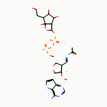 CO[C@]1(C)C(/C=N/C(C)=O)[C@@H](COP(=O)(S)OP(=O)(O)OC2OC3(O)C2C(O)C(O)C3[C@@H](F)CO)O[C@H]1c1c[nH]c2c(N)ncnc12